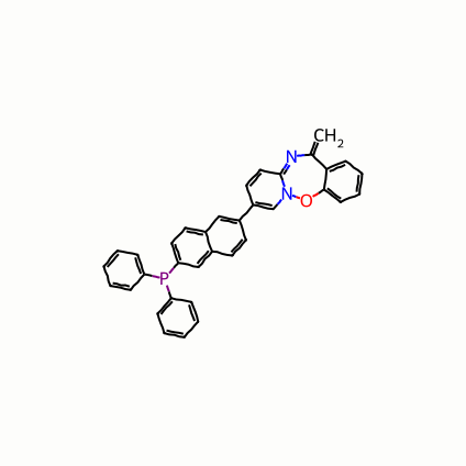 C=C1N=C2C=CC(c3ccc4cc(P(c5ccccc5)c5ccccc5)ccc4c3)=CN2Oc2ccccc21